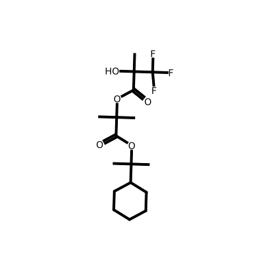 CC(C)(OC(=O)C(C)(O)C(F)(F)F)C(=O)OC(C)(C)C1CCCCC1